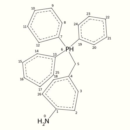 Nc1ccc(C[PH](c2ccccc2)(c2ccccc2)c2ccccc2)cc1